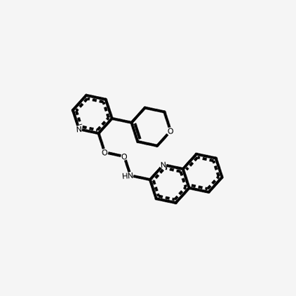 C1=C(c2cccnc2OONc2ccc3ccccc3n2)CCOC1